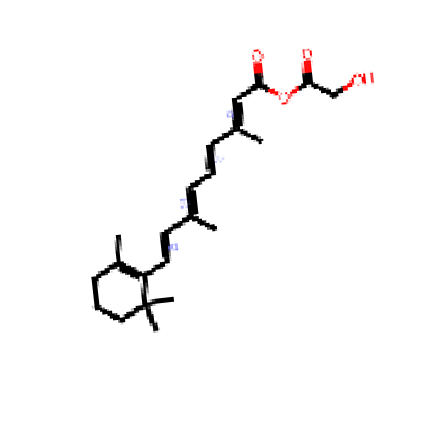 CC1=C(/C=C/C(C)=C/C=C/C(C)=C/C(=O)OC(=O)CO)C(C)(C)CCC1